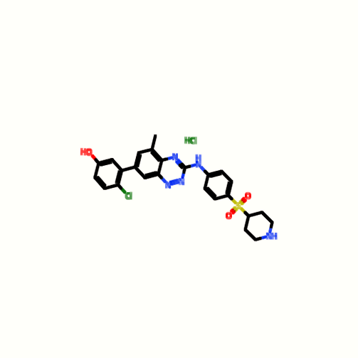 Cc1cc(-c2cc(O)ccc2Cl)cc2nnc(Nc3ccc(S(=O)(=O)C4CCNCC4)cc3)nc12.Cl